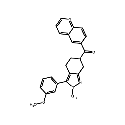 COc1cccc(-c2c3c(nn2C)CN(C(=O)c2ccc4ncccc4c2)CC3)c1